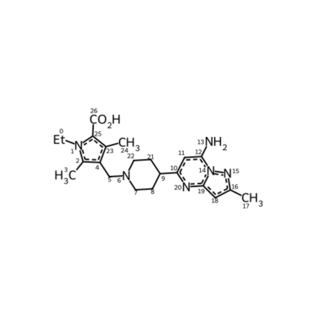 CCn1c(C)c(CN2CCC(c3cc(N)n4nc(C)cc4n3)CC2)c(C)c1C(=O)O